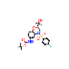 CC(C)(C)OC(=O)Nc1ccc2c(c1)N(S(=O)(=O)c1ccc(F)cc1)CC(C(C)(C)O)O2